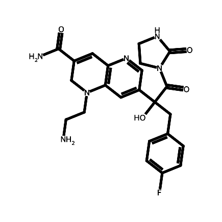 NCCN1CC(C(N)=O)=Cc2ncc(C(O)(Cc3ccc(F)cc3)C(=O)N3CCNC3=O)cc21